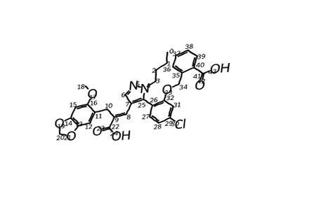 CCCCn1ncc(/C=C(\Cc2cc3c(cc2OC)OCO3)C(=O)O)c1-c1ccc(Cl)cc1OCc1ccccc1C(=O)O